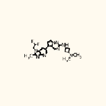 Cc1nc2ncc(-c3ccn4nc(N[C@H]5C[C@@H](N(C)C)C5)ncc34)cc2n1CC(F)F